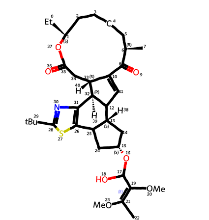 CC[C@H]1CCCC[C@@H](C)C(=O)C2=CC3[C@@H]4C[C@H](OC(O)/C(OC)=C(/C)OC)CC4c4sc(C(C)(C)C)nc4[C@H]3[C@@H]2CC(=O)O1